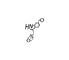 O=Cc1ccc2c(CN3CCOCC3)c[nH]c2c1